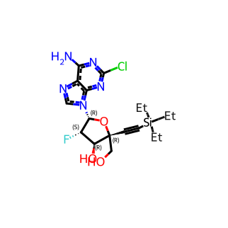 CC[Si](C#C[C@]1(CO)O[C@@H](n2cnc3c(N)nc(Cl)nc32)[C@@H](F)[C@@H]1O)(CC)CC